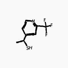 CC(S)c1ccnc(C(F)(F)F)c1